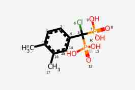 Cc1ccc(C(Cl)(P(=O)(O)O)P(=O)(O)O)cc1C